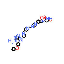 Nc1ncnc2c1c(-c1ccc(Oc3ccccc3)cc1)nn2C1CCCN(CC2CCN(CCN3CCN(c4ccc5c(c4)CN(C4CCC(=O)NC4=O)C5=O)CC3)CC2)C1